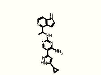 CC(Nc1ncc(-c2cc(C3CC3)[nH]n2)c(N)n1)c1nccc2[nH]ccc12